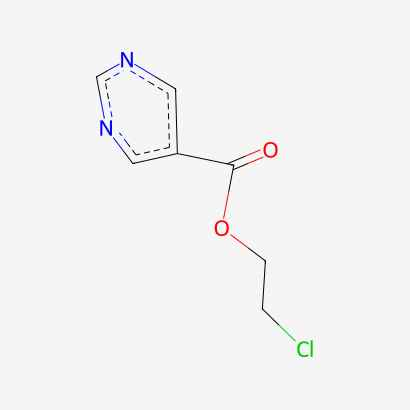 O=C(OCCCl)c1cncnc1